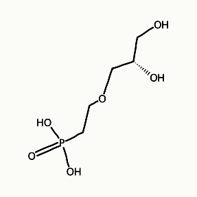 O=P(O)(O)CCOC[C@@H](O)CO